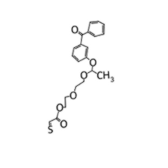 CC(OCCOCCOC(=O)C=S)Oc1cccc(C(=O)c2ccccc2)c1